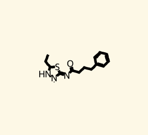 CCC1N[N]C(=NC(=O)CCCc2ccccc2)S1